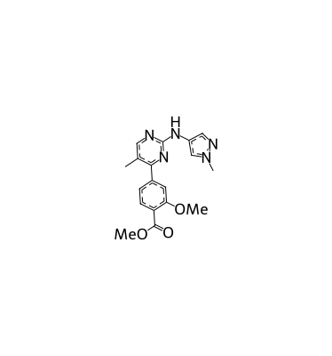 COC(=O)c1ccc(-c2nc(Nc3cnn(C)c3)ncc2C)cc1OC